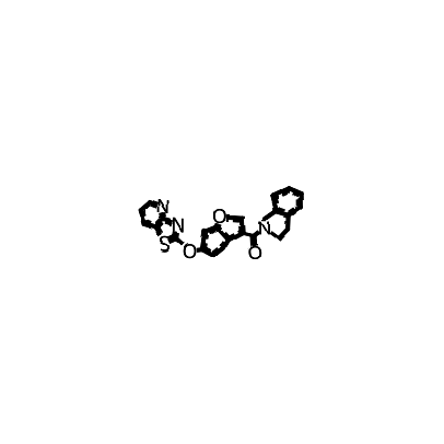 O=C(c1coc2cc(Oc3nc4ncccc4s3)ccc12)N1CCc2ccccc2C1